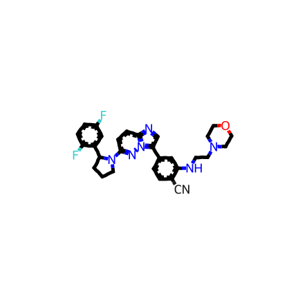 N#Cc1ccc(-c2cnc3ccc(N4CCCC4c4cc(F)ccc4F)nn23)cc1NCCN1CCOCC1